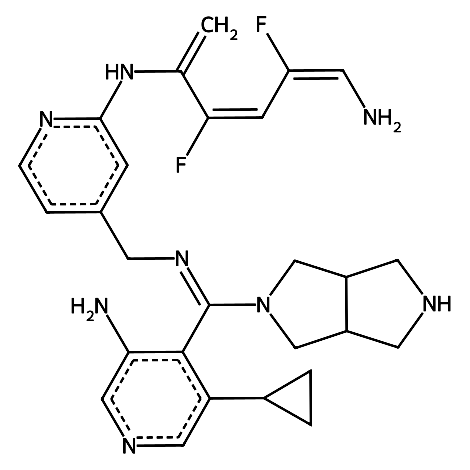 C=C(Nc1cc(C/N=C(\c2c(N)cncc2C2CC2)N2CC3CNCC3C2)ccn1)/C(F)=C\C(F)=C/N